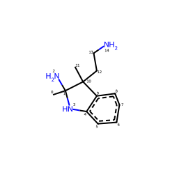 CC1(N)Nc2ccccc2C1(C)CCN